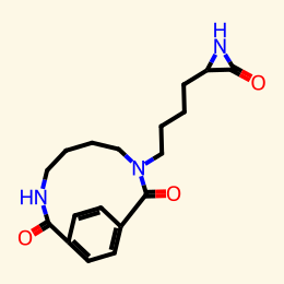 O=C1NCCCCN(CCCCC2NC2=O)C(=O)c2ccc1cc2